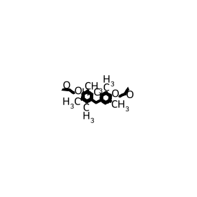 Cc1cc(Cc2cc(C)c(OCC3CO3)c(C)c2C)c(C)c(C)c1OCC1CO1